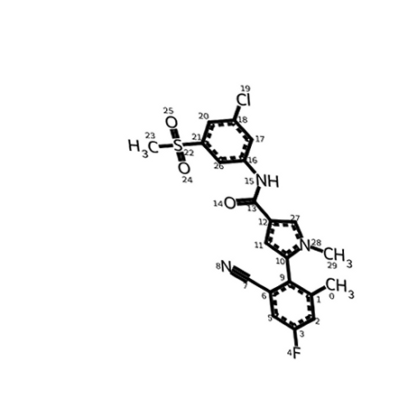 Cc1cc(F)cc(C#N)c1-c1cc(C(=O)Nc2cc(Cl)cc(S(C)(=O)=O)c2)cn1C